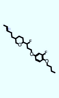 C/C=C/CCC1CCC(C(F)CCOc2ccc(OCCCC)c(F)c2)OC1